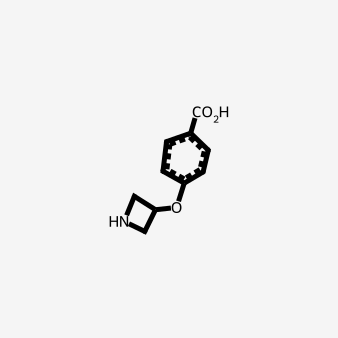 O=C(O)c1ccc(OC2CNC2)cc1